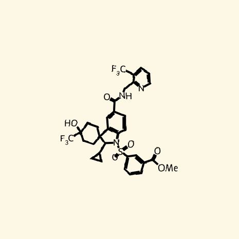 COC(=O)c1cccc(S(=O)(=O)N2c3ccc(C(=O)NCc4ncccc4C(F)(F)F)cc3C3(CCC(O)(C(F)(F)F)CC3)C2C2CC2)c1